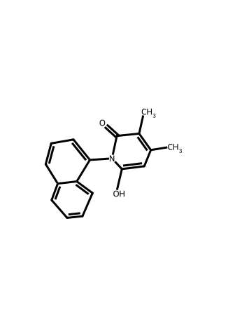 Cc1cc(O)n(-c2cccc3ccccc23)c(=O)c1C